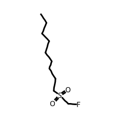 CCCCCCCCCS(=O)(=O)CF